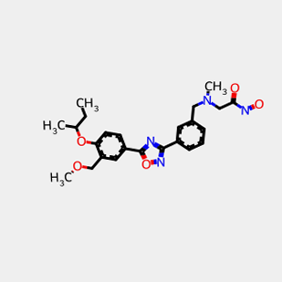 CCC(C)Oc1ccc(-c2nc(-c3cccc(CN(C)CC(=O)N=O)c3)no2)cc1COC